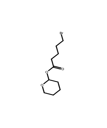 O=C(CCCCBr)OC1CCCCO1